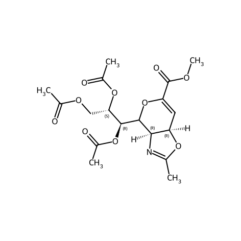 COC(=O)C1=C[C@H]2OC(C)=N[C@H]2C([C@@H](OC(C)=O)[C@H](COC(C)=O)OC(C)=O)O1